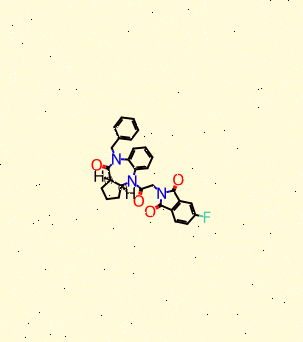 O=C1c2ccc(F)cc2C(=O)N1CC(=O)N1c2ccccc2N(Cc2ccccc2)C(=O)[C@H]2CCC[C@H]21